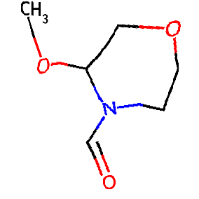 COC1COCCN1C=O